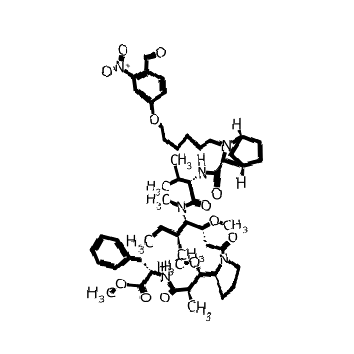 CC[C@H](C)[C@@H]([C@@H](CC(=O)N1CCC[C@H]1[C@H](OC)[C@@H](C)C(=O)N[C@@H](Cc1ccccc1)C(=O)OC)OC)N(C)C(=O)[C@@H](NC(=O)[C@@H]1[C@H]2CC[C@H](C2)N1CCCCCCOc1ccc(C=O)c([N+](=O)[O-])c1)C(C)C